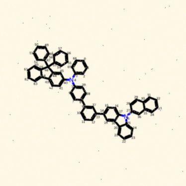 c1ccc(N(c2ccc(-c3cccc(-c4ccc5c(c4)c4ccccc4n5-c4ccc5ccccc5c4)c3)cc2)c2ccc3c(c2)C(c2ccccc2)(c2ccccc2)c2ccccc2-3)cc1